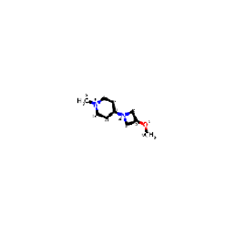 COC1CN(C2CCN(C)CC2)C1